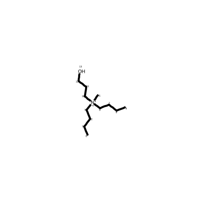 CCCC[N+](C)(CCCC)CCCO